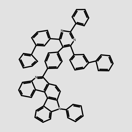 c1ccc(-c2cccc(-c3nc(-c4ccccc4)nc(-c4cccc(-c5ccccc5)c4)c3-c3ccc(-c4nc5ccccc5c5c4ccc4c5c5ccccc5n4-c4ccccc4)cc3)c2)cc1